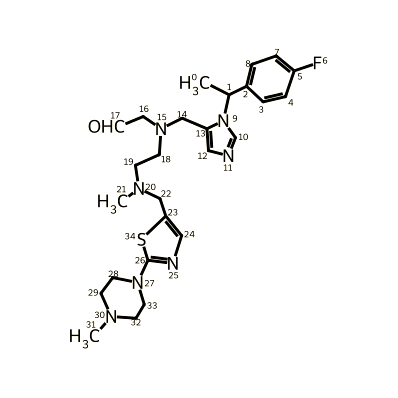 CC(c1ccc(F)cc1)n1cncc1CN(CC=O)CCN(C)Cc1cnc(N2CCN(C)CC2)s1